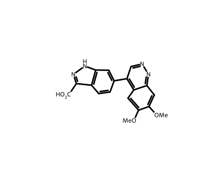 COc1cc2nncc(-c3ccc4c(C(=O)O)n[nH]c4c3)c2cc1OC